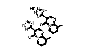 Cc1cccn2c(=O)c(-c3nnn[nH]3)cnc12.Cc1cccn2c(=O)c(-c3nnn[nH]3)cnc12.[KH]